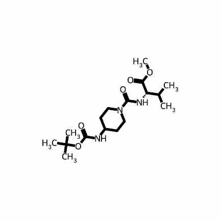 COC(=O)[C@@H](NC(=O)N1CCC(NC(=O)OC(C)(C)C)CC1)C(C)C